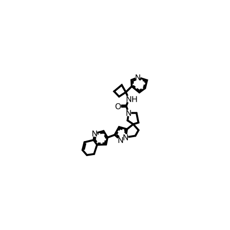 O=C(NC1(c2cccnc2)CCC1)N1CCC2(CCn3nc(-c4cnc5c(c4)CCC=C5)cc32)C1